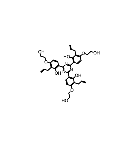 C=CCc1c(OCCO)ccc(-c2nc(-c3ccc(OCCO)c(CC=C)c3O)nc(-c3ccc(OCCO)c(CC=C)c3O)n2)c1O